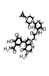 C[C@H]1CN(C2CC2)CCN1c1cc(NC(=O)Cn2cc(-c3cc(Cl)c(O)c(C(N)=O)c3)c3c(=O)n(C)cnc32)c(Cl)cn1